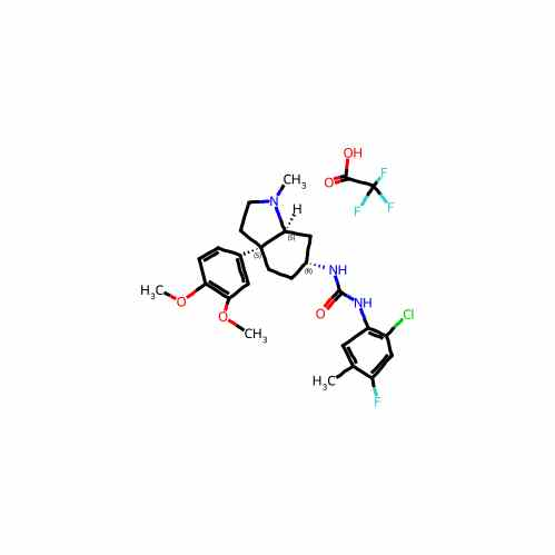 COc1ccc([C@@]23CC[C@@H](NC(=O)Nc4cc(C)c(F)cc4Cl)C[C@@H]2N(C)CC3)cc1OC.O=C(O)C(F)(F)F